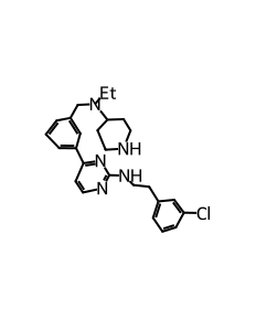 CCN(Cc1cccc(-c2ccnc(NCCc3cccc(Cl)c3)n2)c1)C1CCNCC1